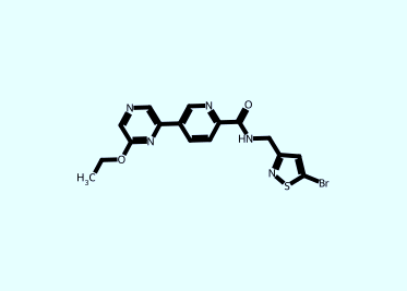 CCOc1cncc(-c2ccc(C(=O)NCc3cc(Br)sn3)nc2)n1